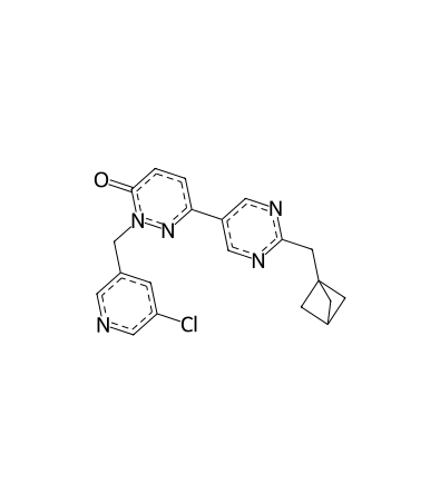 O=c1ccc(-c2cnc(CC34CC(C3)C4)nc2)nn1Cc1cncc(Cl)c1